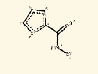 O=C(NBr)c1cccs1